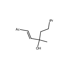 CC(=O)C=CC(C)(O)CCC(C)C